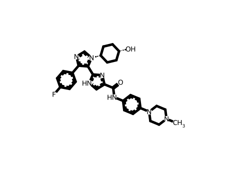 CN1CCN(c2ccc(NC(=O)c3c[nH]c(-c4c(-c5ccc(F)cc5)ncn4[C@H]4CC[C@@H](O)CC4)n3)cc2)CC1